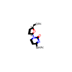 CC(=O)Nc1ccn([C@H]2C=C[C@@H](COC(C)=O)O2)c(=O)n1